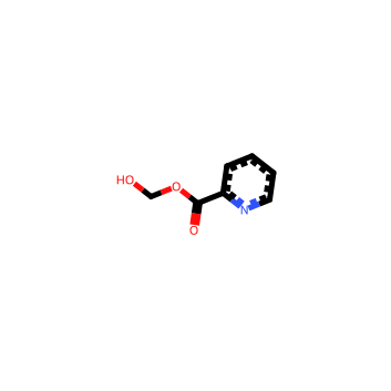 O=C(OCO)c1ccccn1